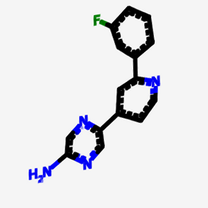 Nc1cnc(-c2ccnc(-c3cccc(F)c3)c2)cn1